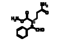 NOC(=O)[C@H](CCC(N)=O)N(C=O)c1ccccc1